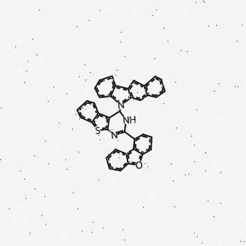 c1ccc2cc3c(cc2c1)c1ccccc1n3C1NC(c2cccc3oc4ccccc4c23)=Nc2sc3ccccc3c21